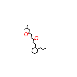 CCCC1CCCCC1CCC(=O)CCC(=O)CC(C)C